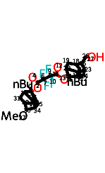 CCCCC1(OC(=O)C(F)(F)C(F)(F)C(=O)OC2(CCCC)C3CC4CC2C(C)C(C3)C4CO)C2CC3CC1CC(C2)C3OC